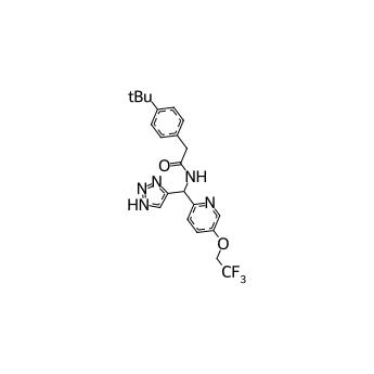 CC(C)(C)c1ccc(CC(=O)NC(c2ccc(OCC(F)(F)F)cn2)c2c[nH]nn2)cc1